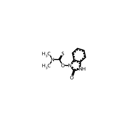 CN(C)C(=S)On1c(=O)[nH]c2ccccc21